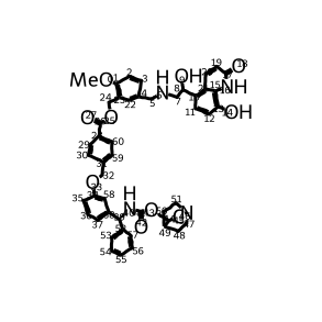 COc1ccc(CNCC(O)c2ccc(O)c3[nH]c(=O)ccc23)cc1COC(=O)c1ccc(COc2cccc([C@@H](NC(=O)OC3CN4CCC3CC4)c3ccccc3)c2)cc1